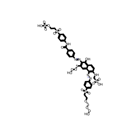 O=C(Nc1ccc(S(=O)(=O)CCOS(=O)(=O)O)cc1)c1ccc(/N=N/c2c(SOOO)cc3c(/N=N/c4ccc(S(=O)(=O)CCOSOOO)cc4)c(NCS(=O)(=O)O)ccc3c2O)cc1